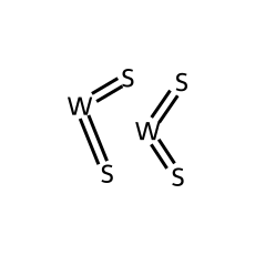 [S]=[W]=[S].[S]=[W]=[S]